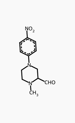 CN1CCN(c2ccc([N+](=O)[O-])cc2)CC1C=O